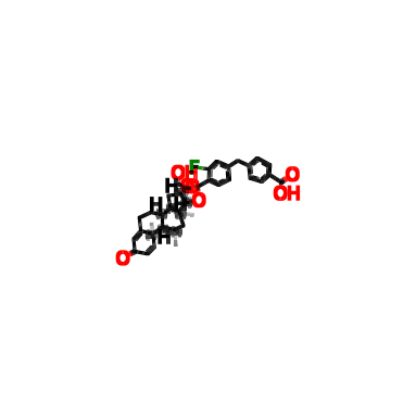 C[C@H]1C[C@@]2(C)[C@@H](C[C@H]3OC(c4ccc(Cc5ccc(C(=O)O)cc5)cc4F)O[C@]32C(=O)CO)[C@@H]2CCC3=CC(=O)C=C[C@]3(C)[C@H]21